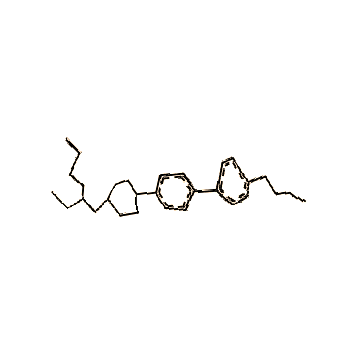 CCCCc1ccc(-c2ccc(C3CCC(CC(CC)CCCC)CC3)cc2)cc1